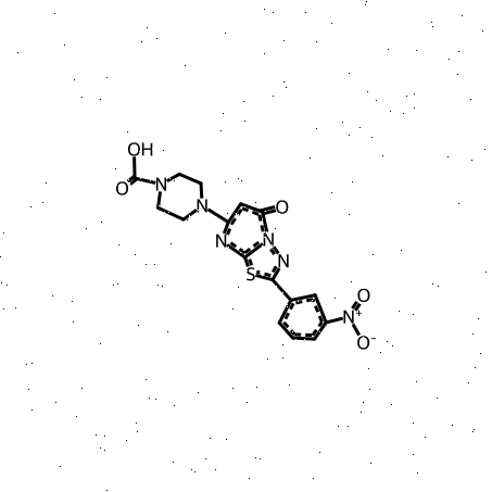 O=C(O)N1CCN(c2cc(=O)n3nc(-c4cccc([N+](=O)[O-])c4)sc3n2)CC1